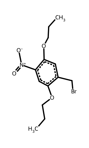 CCCOc1cc([N+](=O)[O-])c(OCCC)cc1CBr